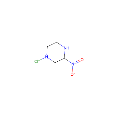 O=[N+]([O-])C1CN(Cl)CCN1